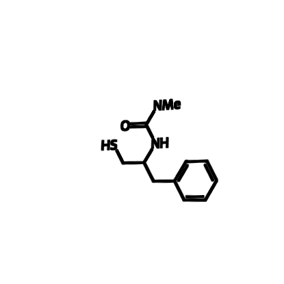 CNC(=O)NC(CS)Cc1ccccc1